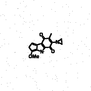 COC1=C2[N]C3=C(C(=O)C(C)=C(N4CC4)C3=O)C2=CC1